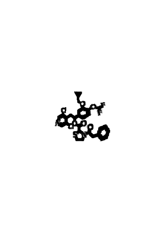 O=C(OC(Cc1c(Cl)cncc1Cl)c1ccc(OC(F)F)c(OCC2CC2)c1)C1SCCN1C(=O)Cc1ccccc1